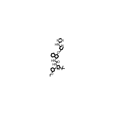 CCOc1cccc(-n2nc(C(C)(C)C)cc2NC(=O)Nc2ccc(OCc3ccnc(Nc4cnccn4)c3)c3ccccc23)c1